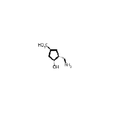 NC[C@H]1C[C@H](C(=O)O)C[C@H]1O